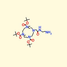 CC(C)(C)OC(=O)N1CCN(CC(=O)NCCN)CCN(C(=O)OC(C)(C)C)CCN(C(=O)OC(C)(C)C)CC1